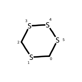 C1SCSSS1